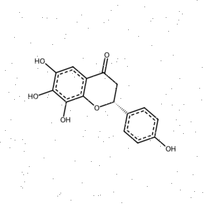 O=C1C[C@H](c2ccc(O)cc2)Oc2c1cc(O)c(O)c2O